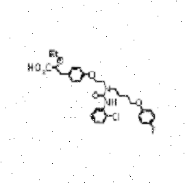 CCOC(Cc1ccc(OCCN(CCCCOc2ccc(F)cc2)C(=O)Nc2ccccc2Cl)cc1)C(=O)O